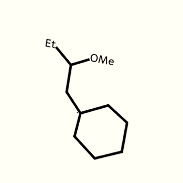 CCC(C[C]1CCCCC1)OC